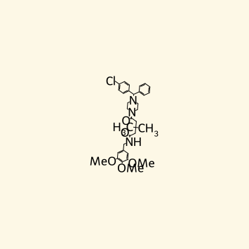 COc1cc(CNC(=O)CC(C)(C)CC(=O)N2CCN(C(c3ccccc3)c3ccc(Cl)cc3)CC2)cc(OC)c1OC